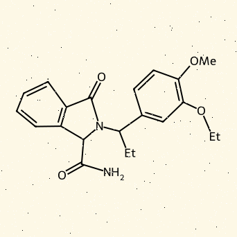 CCOc1cc(C(CC)N2C(=O)c3[c]cccc3C2C(N)=O)ccc1OC